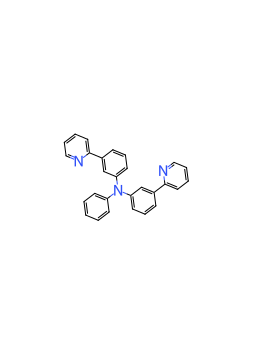 c1ccc(N(c2cccc(-c3ccccn3)c2)c2cccc(-c3ccccn3)c2)cc1